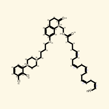 CCC/C=C\C/C=C\C/C=C\C/C=C\C/C=C\CCCC(=O)OCN1C(=O)CCc2ccc(OCCCCN3CCN(c4cccc(Cl)c4Cl)CC3)cc21